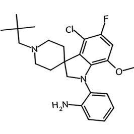 COc1cc(F)c(Cl)c2c1N(c1ccccc1N)CC21CCN(CC(C)(C)C)CC1